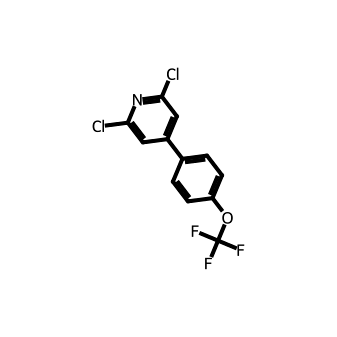 FC(F)(F)Oc1ccc(-c2cc(Cl)nc(Cl)c2)cc1